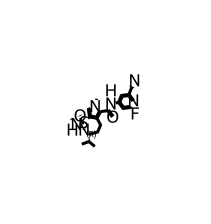 CN=S1(=O)N[C@@H](C(C)C)CCc2c1cn(C)c2C(=O)Nc1cc(F)nc(C#N)c1